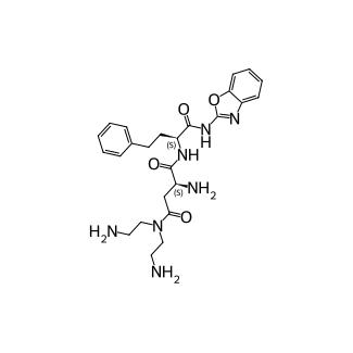 NCCN(CCN)C(=O)C[C@H](N)C(=O)N[C@@H](CCc1ccccc1)C(=O)Nc1nc2ccccc2o1